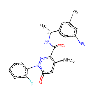 CC(=O)Nc1cc(=O)n(-c2ccccc2F)nc1C(=O)N[C@H](C)c1cc(N)cc(C(F)(F)F)c1